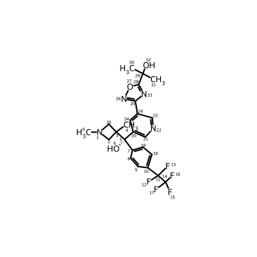 CN1CC(C)([C@](O)(c2ccc(C(F)(F)C(F)(F)F)cc2)c2cncc(-c3noc(C(C)(C)O)n3)c2)C1